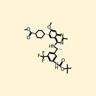 COc1cc2nc(C)nc(N[C@H](C)c3cc(NC(=O)OC(C)(C)C)cc(C(F)(F)F)c3)c2cc1[C@H]1CC[C@H](C(=O)OC)CC1